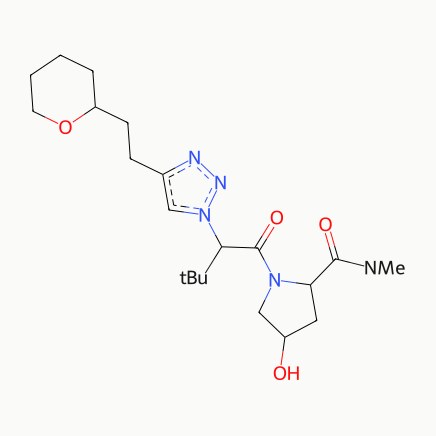 CNC(=O)C1CC(O)CN1C(=O)C(n1cc(CCC2CCCCO2)nn1)C(C)(C)C